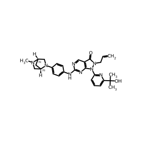 C=CCn1c(=O)c2cnc(Nc3ccc(N4C[C@@H]5C[C@H]4CN5C)cc3)nc2n1-c1cccc(C(C)(C)O)n1